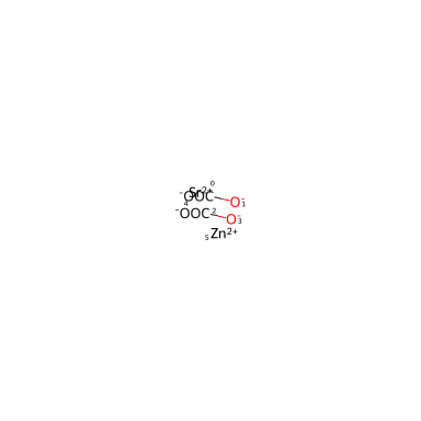 O=C([O-])[O-].O=C([O-])[O-].[Sr+2].[Zn+2]